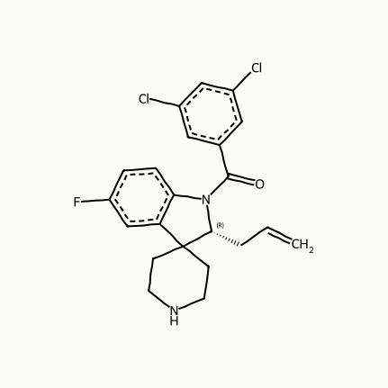 C=CC[C@H]1N(C(=O)c2cc(Cl)cc(Cl)c2)c2ccc(F)cc2C12CCNCC2